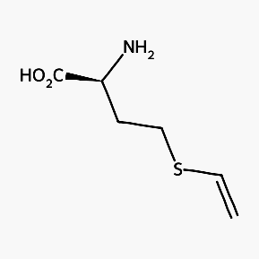 C=CSCC[C@H](N)C(=O)O